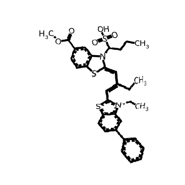 CCCC(N1C(=CC(=Cc2sc3ccc(-c4ccccc4)cc3[n+]2CC)CC)Sc2ccc(C(=O)OC)cc21)S(=O)(=O)O